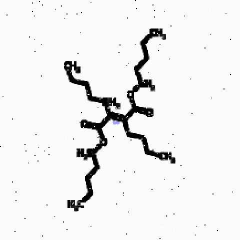 CCCC[SiH2]OC(=O)/C(CCCC)=C(\[SiH2]CCCC)C(=O)O[SiH2]CCCC